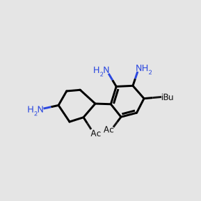 CCC(C)C1C=C(C(C)=O)C(C2CCC(N)CC2C(C)=O)=C(N)C1N